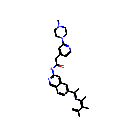 C=C(C)/C(C)=C(C)\C=C(/C)c1ccc2cnc(NC(=O)Cc3ccnc(N4CCN(C)CC4)c3)cc2c1